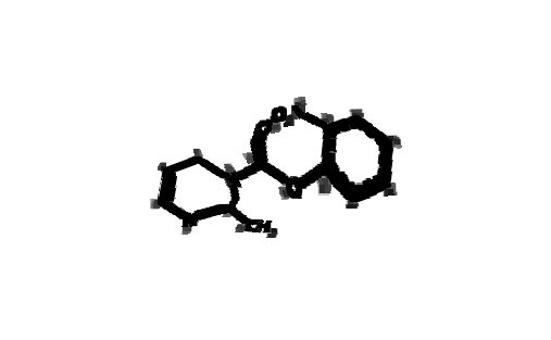 CC1=NC=CCN1C(=O)Oc1ccccc1[N+](=O)[O-]